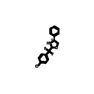 FC(F)(c1ccc(Cl)cc1)C1N[C@@H](c2ccccc2)CO1